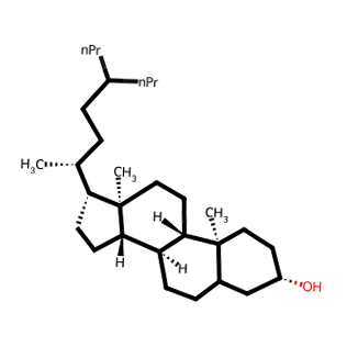 CCCC(CCC)CC[C@@H](C)[C@H]1CC[C@H]2[C@@H]3CCC4C[C@@H](O)CC[C@]4(C)[C@H]3CC[C@]12C